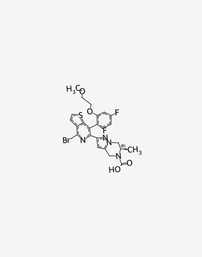 COCCOc1cc(F)cc(F)c1-c1c(-c2cc3n(n2)C[C@@H](C)N(C(=O)O)C3)nc(Br)c2ccsc12